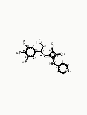 O=c1c(Nc2ccncc2)c(NC(CO)c2cc(F)c(F)c(F)c2)c1=O